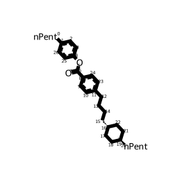 CCCCCc1ccc(OC(=O)c2ccc(CCCC[C@H]3CC[C@H](CCCCC)CC3)cc2)cc1